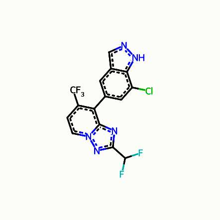 FC(F)c1nc2c(-c3cc(Cl)c4[nH]ncc4c3)c(C(F)(F)F)ccn2n1